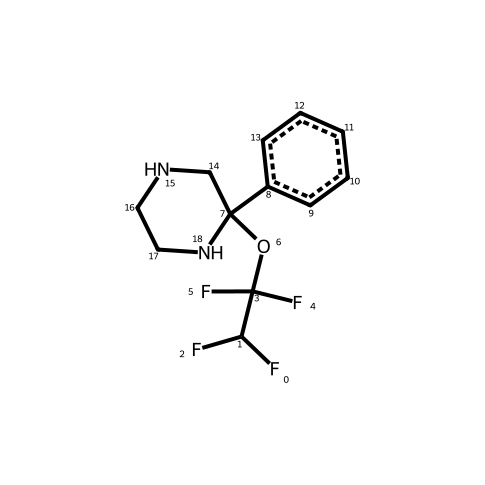 FC(F)C(F)(F)OC1(c2ccccc2)CNCCN1